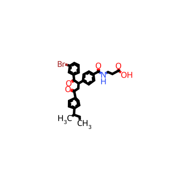 CCC(C)c1ccc(C(=O)CC(C(=O)c2cccc(Br)c2)c2ccc(C(=O)NCCC(=O)O)cc2)cc1